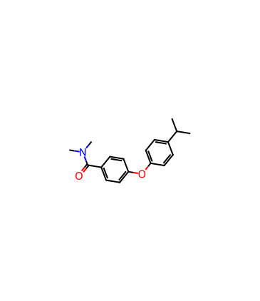 CC(C)c1ccc(Oc2ccc(C(=O)N(C)C)cc2)cc1